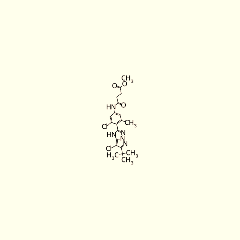 COC(=O)CCC(=O)Nc1cc(C)c(-c2nn3nc(C(C)(C)C)c(Cl)c3[nH]2)c(Cl)c1